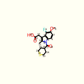 COc1ccc2c(c1F)c(CC(=O)O)c(C)n2C(=O)C1CCSCC1